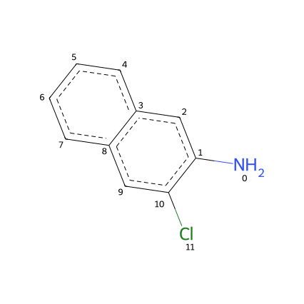 Nc1cc2ccccc2cc1Cl